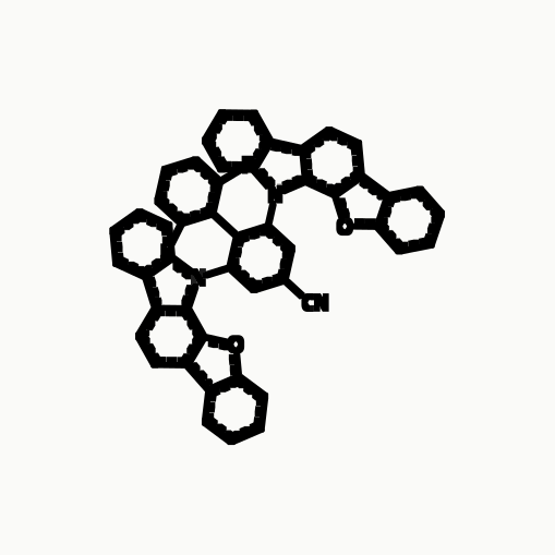 N#Cc1cc(-n2c3ccccc3c3ccc4c5ccccc5oc4c32)c(-c2c(F)cccc2F)c(-n2c3ccccc3c3ccc4c5ccccc5oc4c32)c1